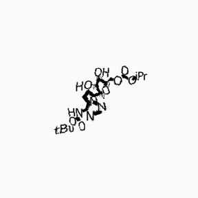 CC(C)OC(=O)OC[C@H]1O[C@@](C)(c2ccc3c(NC(=O)OC(C)(C)C)ncnn23)[C@H](O)[C@@H]1O